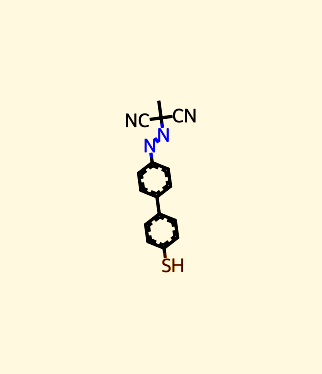 CC(C#N)(C#N)N=Nc1ccc(-c2ccc(S)cc2)cc1